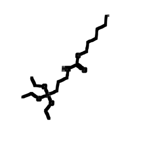 [CH2]CCCCCOC(=O)NCCC[Si](OCC)(OCC)OCC